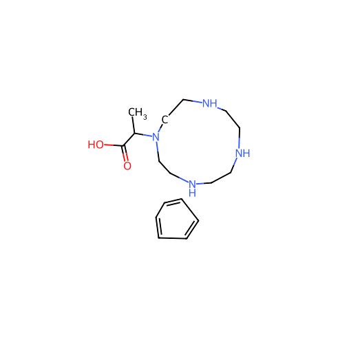 CC(C(=O)O)N1CCNCCNCCNCC1.c1ccccc1